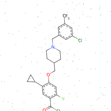 O=C(Cl)c1cc(C2CC2)c(OCC2CCN(Cc3cc(Cl)cc(C(F)(F)F)c3)CC2)cc1F